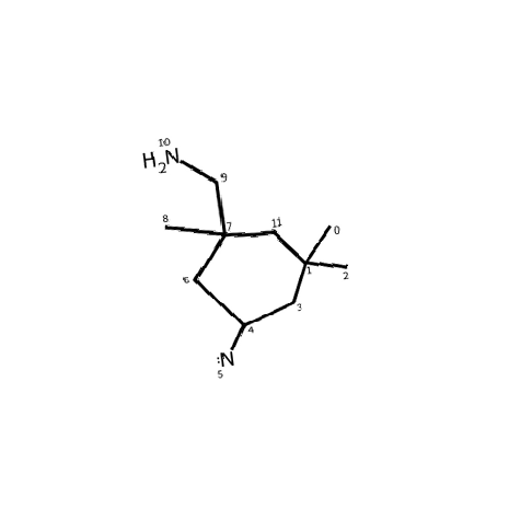 CC1(C)CC([N])CC(C)(CN)C1